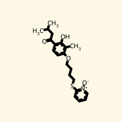 Cc1c(OCCCCSc2cccc[n+]2[O-])ccc(C(=O)CC(C)C)c1O